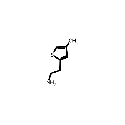 Cc1csc(CCN)c1